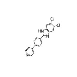 Clc1cc2nc(-c3ccc(-c4ccncc4)cc3)[nH]c2cc1Cl